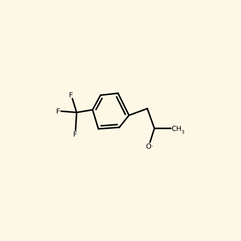 CC([O])Cc1ccc(C(F)(F)F)cc1